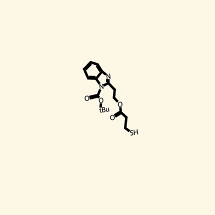 CC(C)(C)OC(=O)n1c(CCOC(=O)CCS)nc2ccccc21